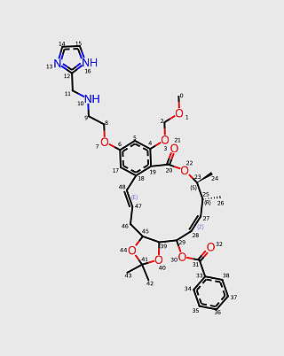 COCOc1cc(OCCNCc2ncc[nH]2)cc2c1C(=O)O[C@@H](C)[C@H](C)/C=C\C(OC(=O)c1ccccc1)C1OC(C)(C)OC1C/C=C/2